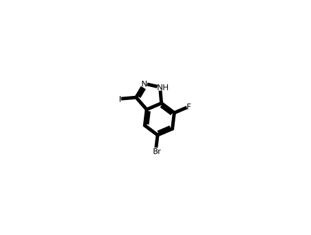 Fc1cc(Br)cc2c(I)n[nH]c12